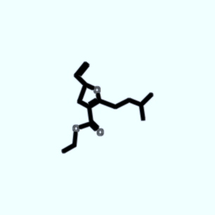 C=CC1CC(C(=O)OCC)=C(CCC(C)C)O1